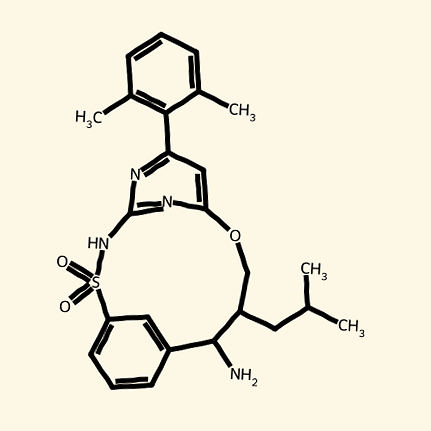 Cc1cccc(C)c1-c1cc2nc(n1)NS(=O)(=O)c1cccc(c1)C(N)C(CC(C)C)CO2